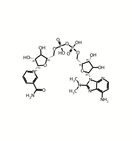 CN(C)c1nc2c(N)ccnc2n1[C@@H]1O[C@H](COP(=O)(O)OP(=O)(O)OC[C@@H]2O[C@H]([n+]3cccc(C(N)=O)c3)[C@H](O)C2O)[C@H](O)C1O